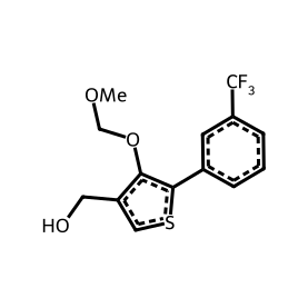 COCOc1c(CO)csc1-c1cccc(C(F)(F)F)c1